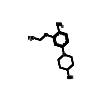 O=[N+]([O-])c1ccc(N2CCC(O)CC2)cc1OCC(F)(F)F